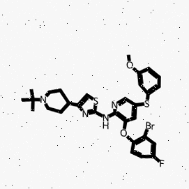 COc1cccc(Sc2cnc(Nc3nc(C4CCN(C(C)(C)C)CC4)cs3)c(Oc3ccc(F)cc3Br)c2)c1